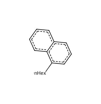 CCCCC[CH]c1cccc2ccccc12